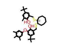 Cc1cc(Oc2cc(C(C)(C)C)cc(CSC3CCCCCC[C@@H]3SCc3cc(C(C)(C)C)cc(C)c3O)c2O)cc(C)c1C